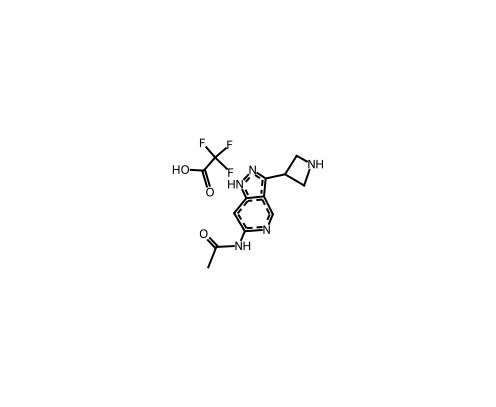 CC(=O)Nc1cc2[nH]nc(C3CNC3)c2cn1.O=C(O)C(F)(F)F